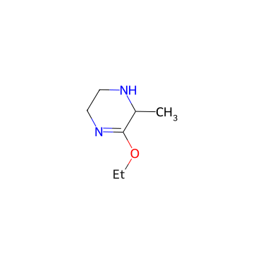 CCOC1=NCCNC1C